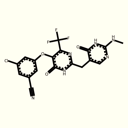 CNc1ncc(Cc2nc(C(F)(F)F)c(Oc3cc(Cl)cc(C#N)c3)c(=O)[nH]2)c(=O)[nH]1